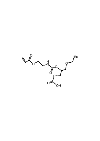 C=CC(=O)OCCNC(=O)OC(COCC(C)CC)COS(=O)O